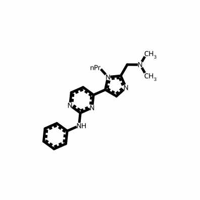 CCCn1c(-c2ccnc(Nc3ccccc3)n2)cnc1CN(C)C